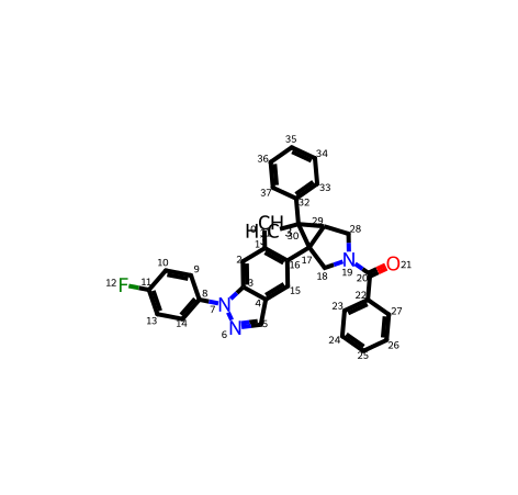 Cc1cc2c(cnn2-c2ccc(F)cc2)cc1C12CN(C(=O)c3ccccc3)CC1C2(C)c1ccccc1